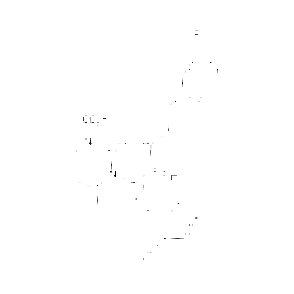 Cn1cncc1C[C@H]1C(=O)N(CCc2cccc(F)c2)C=C2N(C(=O)O)CCC(=O)N21